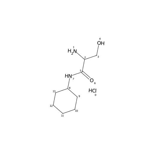 Cl.NC(CO)C(=O)NC1CCCCC1